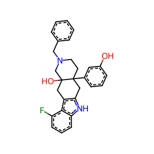 Oc1cccc(C23CCN(Cc4ccccc4)CC2(O)Cc2c([nH]c4cccc(F)c24)C3)c1